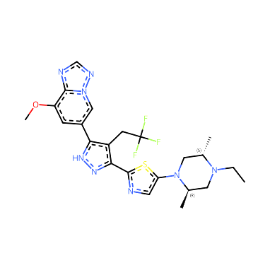 CCN1C[C@@H](C)N(c2cnc(-c3n[nH]c(-c4cc(OC)c5ncnn5c4)c3CC(F)(F)F)s2)C[C@@H]1C